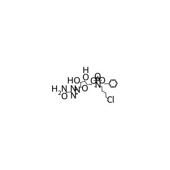 CN(CCCCCl)P(=O)(OCc1ccccc1)OC[C@H]1O[C@@H](n2cnc(C(N)=O)n2)[C@H](O)[C@@H]1O